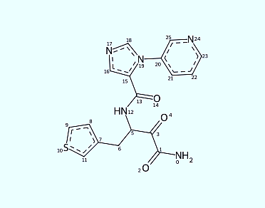 NC(=O)C(=O)C(Cc1ccsc1)NC(=O)c1cncn1-c1cccnc1